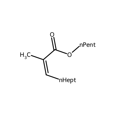 CCCCCCCC=C(C)C(=O)OCCCCC